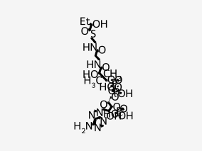 CCC(O)C(=O)SCCNC(=O)CCNC(=O)C(O)C(C)(C)COP(=O)(O)OP(=O)(O)OC[C@H]1O[C@@H](n2cnc3c(N)ncnc32)[C@H](O)[C@@H]1OP(=O)(O)O